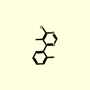 Cc1ccccc1-c1ncnc(Cl)c1C